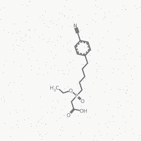 CCOP(=O)(CCCCCc1ccc(C#N)cc1)CC(=O)O